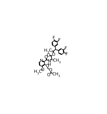 COc1ccnc(C(=O)N[C@@H](C)C(=O)O[C@@H](C)C(c2ccc(F)c(F)c2)c2ccc(F)c(F)c2)c1OCOC(C)=O